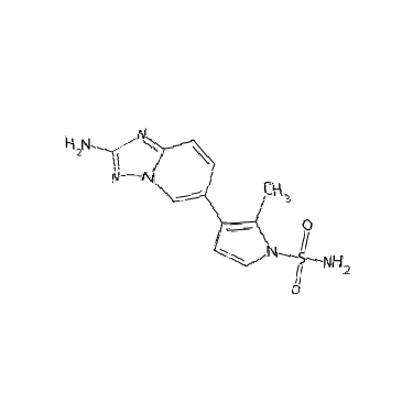 Cc1c(-c2ccc3nc(N)nn3c2)ccn1S(N)(=O)=O